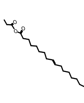 CCCCCCCC/C=C/CCCCCCCC(=O)OC(=O)CC